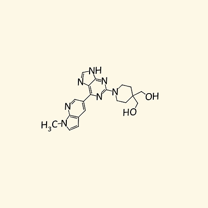 Cn1ccc2cc(-c3nc(N4CCC(CO)(CO)CC4)nc4[nH]cnc34)cnc21